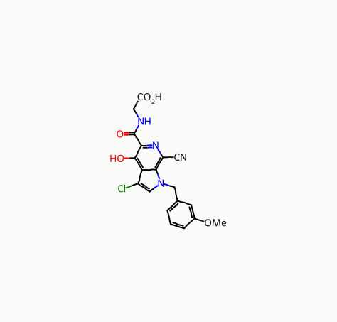 COc1cccc(Cn2cc(Cl)c3c(O)c(C(=O)NCC(=O)O)nc(C#N)c32)c1